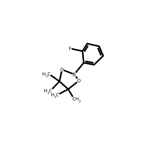 CC1(C)OB(c2ccccc2F)OC1(C)C